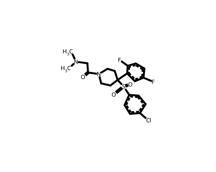 CN(C)CC(=O)N1CCC(c2cc(F)ccc2F)(S(=O)(=O)c2ccc(Cl)cc2)CC1